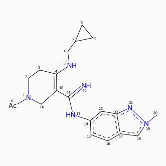 CC(=O)N1CCC(NCC2CC2)=C(C(=N)Nc2ccc3cn(C)nc3c2)C1